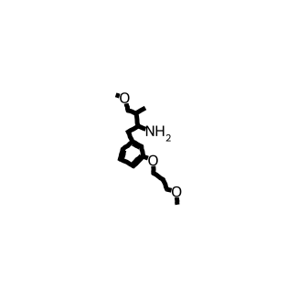 COCCCOc1cccc(CC(N)C(C)COC)c1